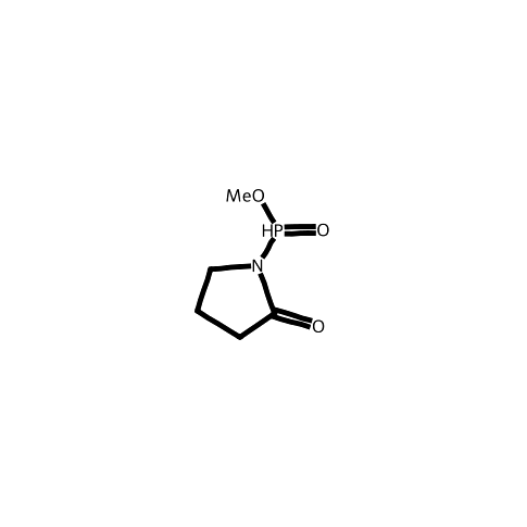 CO[PH](=O)N1CCCC1=O